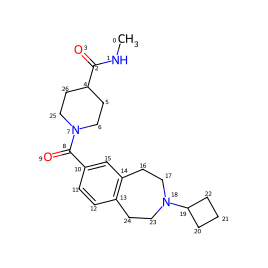 CNC(=O)C1CCN(C(=O)c2ccc3c(c2)CCN(C2CCC2)CC3)CC1